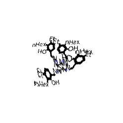 CCCCCCc1c(CC)ccc(C/N=N/[Si](/N=N/Cc2ccc(CC)c(CCCCCC)c2O)(/N=N/Cc2ccc(CC)c(CCCCCC)c2O)/N=N/Cc2ccc(CC)c(CCCCCC)c2O)c1O